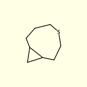 C1CSCCC2CC2C1